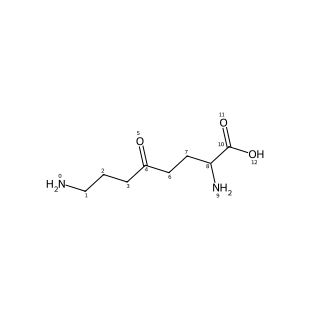 NCCCC(=O)CCC(N)C(=O)O